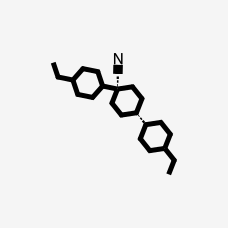 CCC1CCC([C@H]2CC[C@](C#N)(C3CCC(CC)CC3)CC2)CC1